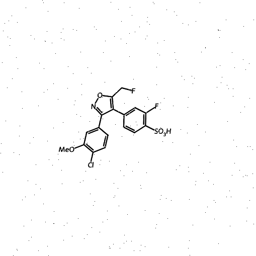 COc1cc(-c2noc(CF)c2-c2ccc(S(=O)(=O)O)c(F)c2)ccc1Cl